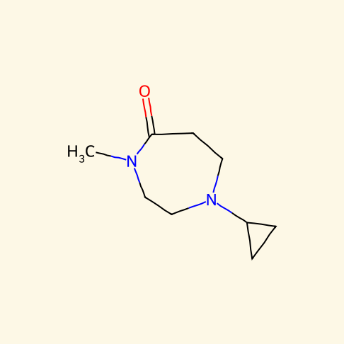 CN1CCN(C2CC2)CCC1=O